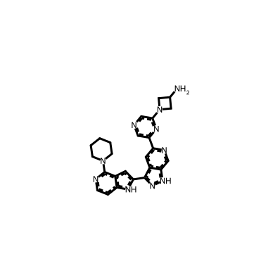 NC1CN(c2cncc(-c3cc4c(-c5cc6c(N7CCCCC7)nccc6[nH]5)n[nH]c4cn3)n2)C1